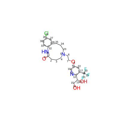 O=C1CCCN(CCOc2cnc(C(O)CO)c(C(F)(F)F)c2)CCCc2cc(Cl)ccc2N1